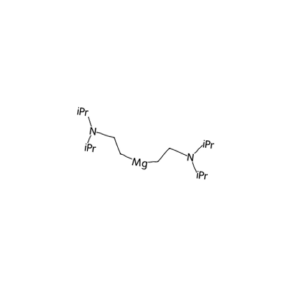 CC(C)N(C[CH2][Mg][CH2]CN(C(C)C)C(C)C)C(C)C